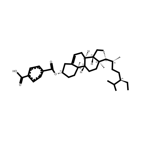 CC[C@H](CC[C@@H](C)[C@H]1CC[C@H]2[C@@H]3CC=C4C[C@@H](OC(=O)c5ccc(C(=O)O)cc5)CC[C@]4(C)[C@H]3CC[C@]12C)C(C)C